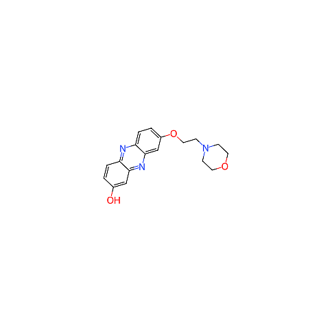 Oc1ccc2nc3ccc(OCCN4CCOCC4)cc3nc2c1